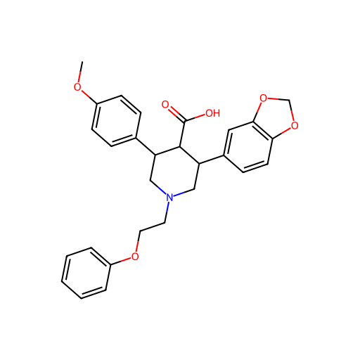 COc1ccc(C2CN(CCOc3ccccc3)CC(c3ccc4c(c3)OCO4)C2C(=O)O)cc1